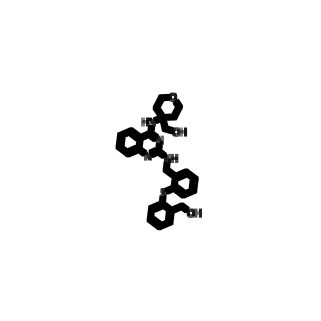 OCc1ccccc1Sc1ccccc1CNc1nc(NC2(CO)CCOCC2)c2ccccc2n1